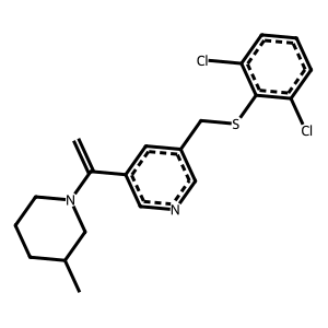 C=C(c1cncc(CSc2c(Cl)cccc2Cl)c1)N1CCCC(C)C1